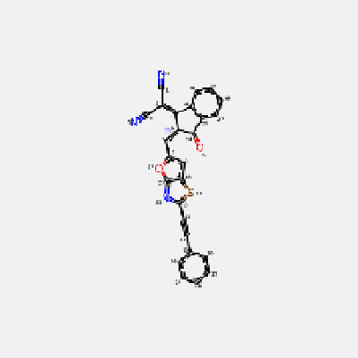 N#CC(C#N)=C1/C(=C/c2cc3sc(C#Cc4ccccc4)nc3o2)C(=O)c2ccccc21